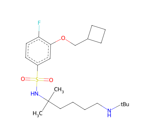 CC(C)(C)NCCCCC(C)(C)NS(=O)(=O)c1ccc(F)c(OCC2CCC2)c1